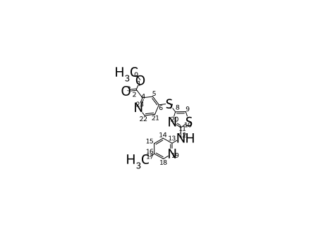 COC(=O)c1cc(Sc2csc(Nc3ccc(C)cn3)n2)ccn1